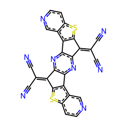 N#CC(C#N)=C1c2nc3c(nc2-c2c1sc1ccncc21)C(=C(C#N)C#N)c1sc2ccncc2c1-3